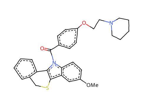 COc1ccc2c(c1)c1c(n2C(=O)c2ccc(OCCN3CCCCC3)cc2)-c2ccccc2CS1